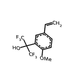 C=Cc1ccc(OC)c(C(O)(C(F)(F)F)C(F)(F)F)c1